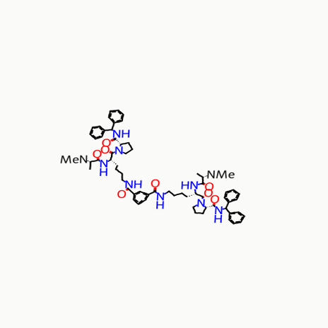 CN[C@@H](C)C(=O)N[C@@H](CCCCNC(=O)c1cccc(C(=O)NCCCC[C@H](NC(=O)[C@H](C)NC)C(=O)N2CCC[C@H]2C(=O)NC(c2ccccc2)c2ccccc2)c1)C(=O)N1CCC[C@H]1C(=O)NC(c1ccccc1)c1ccccc1